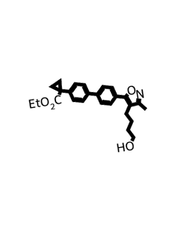 CCOC(=O)C1(c2ccc(-c3ccc(-c4onc(C)c4CCCCO)cc3)cc2)CC1